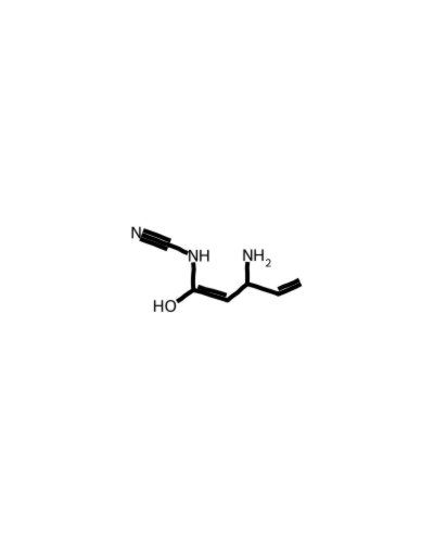 C=CC(N)/C=C(/O)NC#N